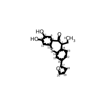 CCC1C(=O)c2cc(O)c(O)cc2Sc2cc(-c3ccco3)ccc21